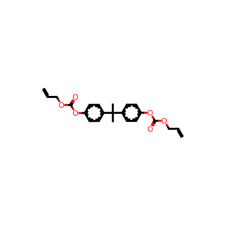 C=CCOC(=O)Oc1ccc(C(C)(C)c2ccc(OC(=O)OCC=C)cc2)cc1